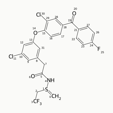 C=S(CC(F)(F)F)NC(=O)Cc1cc(Cl)cc(Oc2ccc(C(=O)c3ccc(F)cc3)cc2Cl)c1